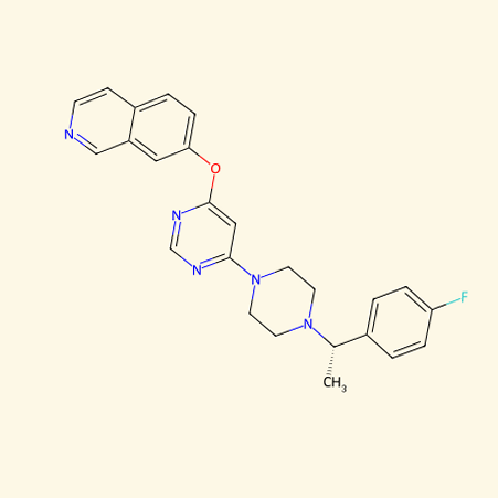 C[C@@H](c1ccc(F)cc1)N1CCN(c2cc(Oc3ccc4ccncc4c3)ncn2)CC1